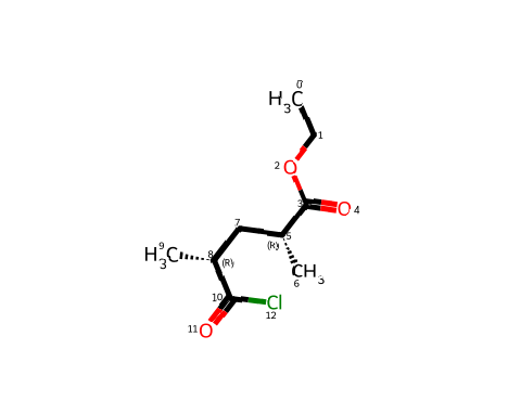 CCOC(=O)[C@H](C)C[C@@H](C)C(=O)Cl